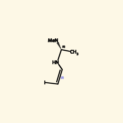 CN[C@H](C)N/C=C\I